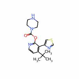 CC(C)(C)c1ccnc(OC(=O)N2CCNCC2)c1-c1cscn1